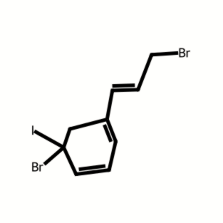 BrCC=CC1=CC=CC(Br)(I)C1